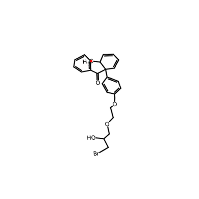 CC1C=CC=CC1(C(=O)c1ccccc1)c1ccc(OCCOCC(O)CBr)cc1